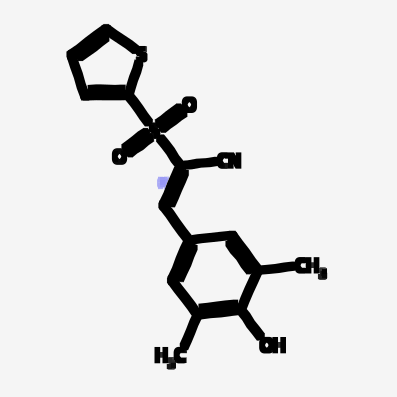 Cc1cc(/C=C(\C#N)S(=O)(=O)c2cccs2)cc(C)c1O